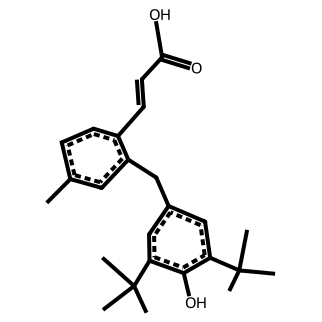 Cc1ccc(C=CC(=O)O)c(Cc2cc(C(C)(C)C)c(O)c(C(C)(C)C)c2)c1